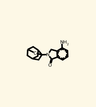 Nc1cccc2c1CN(C13CC4CC(CC1C4)C3)C2=O